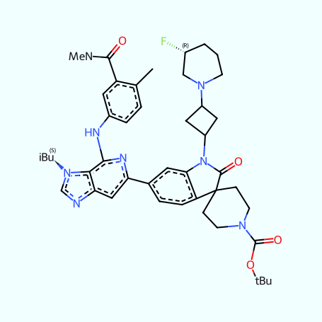 CC[C@H](C)n1cnc2cc(-c3ccc4c(c3)N(C3CC(N5CCC[C@@H](F)C5)C3)C(=O)C43CCN(C(=O)OC(C)(C)C)CC3)nc(Nc3ccc(C)c(C(=O)NC)c3)c21